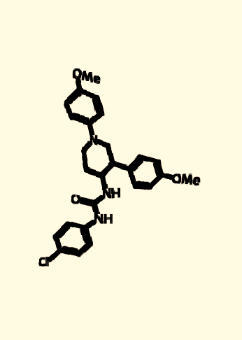 COc1ccc(C2CN(c3ccc(OC)cc3)CCC2NC(=O)Nc2ccc(Cl)cc2)cc1